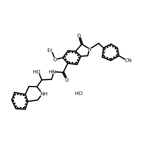 CCOc1cc2c(cc1C(=O)NCC(O)C1Cc3ccccc3CN1)CN(Cc1ccc(C#N)cc1)C2=O.Cl